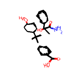 CC(C)(C)C1CCC(O)CC1.CC(O)(C(N)=O)c1ccccc1.O=C(O)c1ccccc1